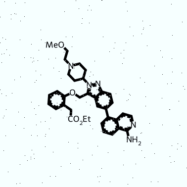 CCOC(=O)Cc1ccccc1OCc1c2cc(-c3cccc4c(N)nccc34)ccc2nn1C1CCN(CCOC)CC1